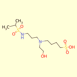 CC(C)S(=O)(=O)NCCCN(CCO)CCCCS(=O)(=O)O